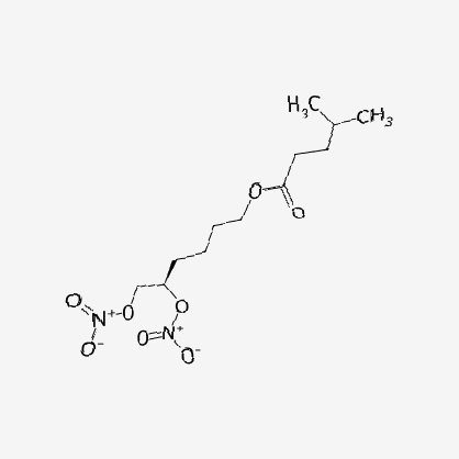 CC(C)CCC(=O)OCCCC[C@H](CO[N+](=O)[O-])O[N+](=O)[O-]